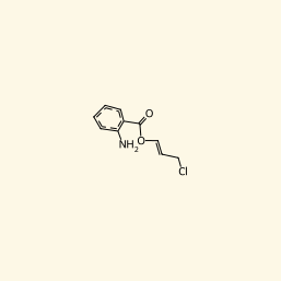 Nc1ccccc1C(=O)OC=CCCl